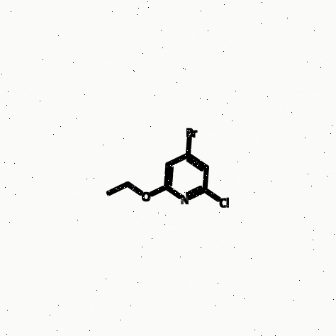 CCOc1cc(Br)cc(Cl)n1